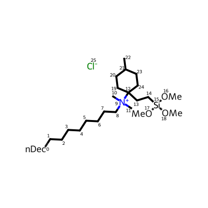 CCCCCCCCCCCCCCCCCC[N+](C)(C)C1(CC[Si](OC)(OC)OC)CCC(C)CC1.[Cl-]